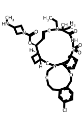 CCN1C/C=C/[C@H](OC(=O)N2CC(NC)C2)[C@@H]2CC[C@H]2CN2CCCCc3cc(Cl)ccc3COc3ccc(cc32)S(=O)(=O)NC(=O)C1(C)C